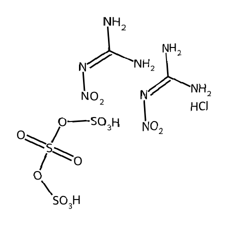 Cl.NC(N)=N[N+](=O)[O-].NC(N)=N[N+](=O)[O-].O=S(=O)(O)OS(=O)(=O)OS(=O)(=O)O